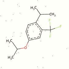 CC(C)Oc1ccc(C(C)C)c(C(F)(F)F)c1